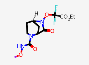 CCOC(=O)C(F)(F)ON1C(=O)C2C[C@H]1CCN2C(=O)NOI